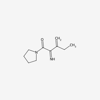 C=C(CC)C(=N)C(=O)N1CCCC1